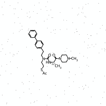 CC(=O)SCCN(CCc1ccc(-c2ccccc2)cc1)C(=O)N[C@@H](C)C(=O)N1CCN(C)CC1